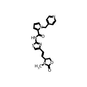 CN1C(=O)OCC1C=Cc1csc(NC(=O)c2cccn2Cc2ccncc2)n1